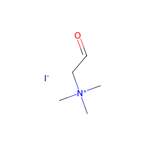 C[N+](C)(C)CC=O.[I-]